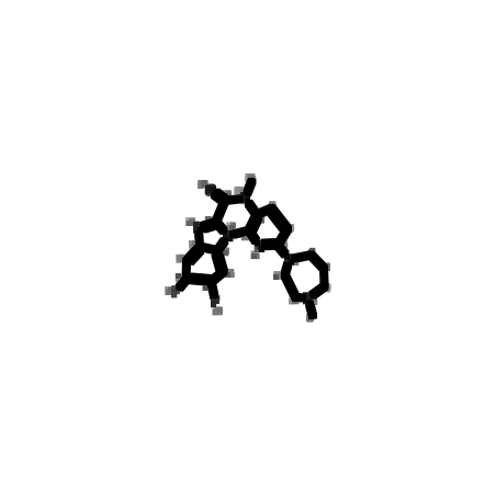 CN1CCCN(c2ccc3c(n2)n2c(nc4cc(F)c(F)cc42)c(=O)n3C)CC1